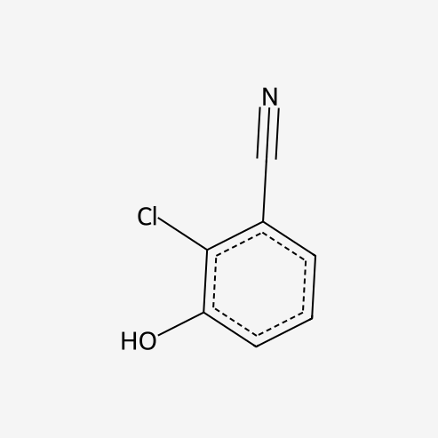 N#Cc1cccc(O)c1Cl